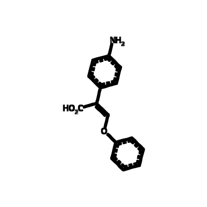 Nc1ccc(C(=COc2ccccc2)C(=O)O)cc1